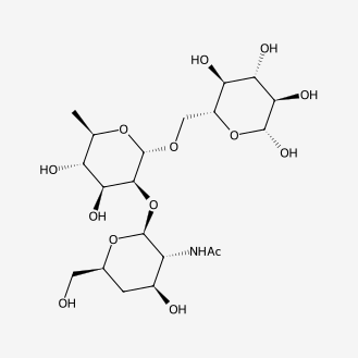 CC(=O)N[C@H]1[C@H](O[C@@H]2[C@@H](OC[C@H]3O[C@@H](O)[C@H](O)[C@@H](O)[C@@H]3O)O[C@H](C)[C@@H](O)[C@@H]2O)O[C@H](CO)C[C@@H]1O